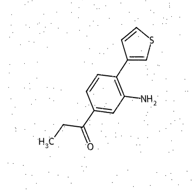 CCC(=O)c1ccc(-c2ccsc2)c(N)c1